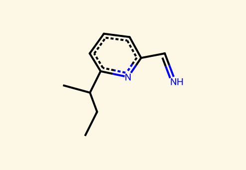 CCC(C)c1cccc(C=N)n1